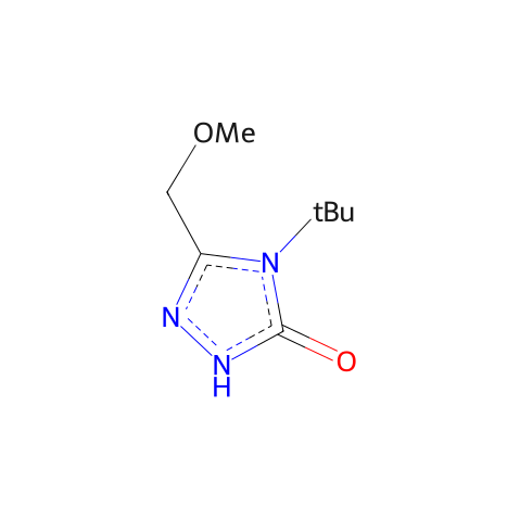 COCc1n[nH]c(=O)n1C(C)(C)C